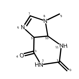 C=C1NC(=O)C2N=CN(C)C2N1